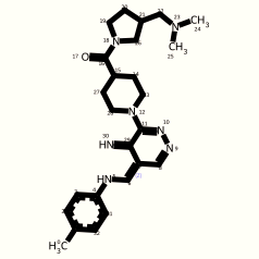 Cc1ccc(N/C=C2/C=NN=C(N3CCC(C(=O)N4CCC(CN(C)C)C4)CC3)C2=N)cc1